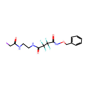 O=C(CI)NCCNC(=O)C(F)(F)C(F)(F)C(=O)NOCc1ccccc1